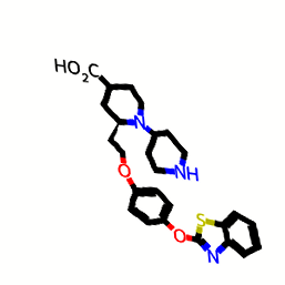 O=C(O)C1CCN(C2CCNCC2)[C@@H](CCOc2ccc(Oc3nc4ccccc4s3)cc2)C1